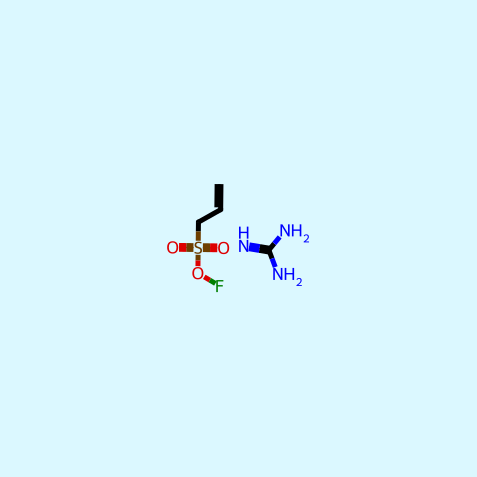 C=CCS(=O)(=O)OF.N=C(N)N